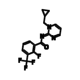 O=C(/N=c1\ncccn1CC1CC1)c1cccc(C(F)(F)F)c1F